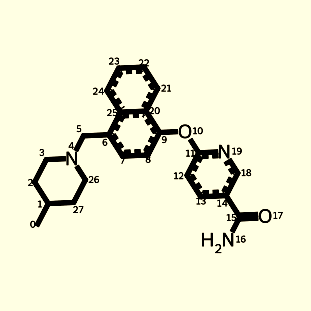 CC1CCN(Cc2ccc(Oc3ccc(C(N)=O)cn3)c3ccccc23)CC1